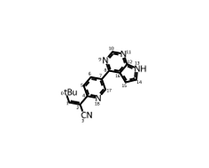 CC(C)(C)/C=C(/C#N)c1ccc(-c2ncnc3[nH]ccc23)cn1